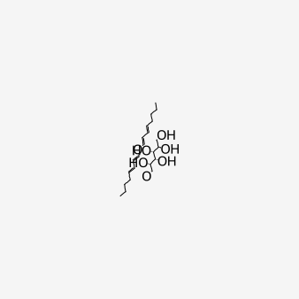 CCCCC=CC=COC=CC=CCCCC.O=C[C@H](O)[C@@H](O)[C@H](O)[C@H](O)CO